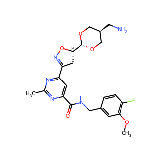 COc1cc(CNC(=O)c2cc(C3=NO[C@H]([C@H]4OC[C@H](CN)CO4)C3)nc(C)n2)ccc1F